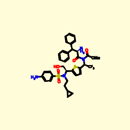 COC(=O)N(C(=O)[C@@H](N)C(c1ccccc1)c1ccccc1)[C@H](c1ccc([C@@H](CO)N(CCC2CC2)S(=O)(=O)c2ccc(N)cc2)s1)C(F)(F)F